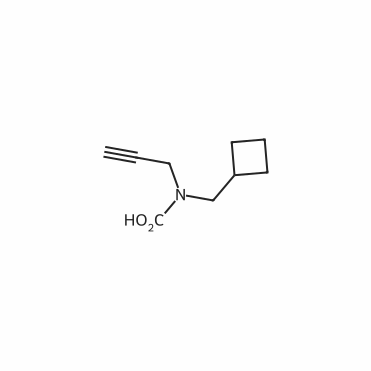 C#CCN(CC1CCC1)C(=O)O